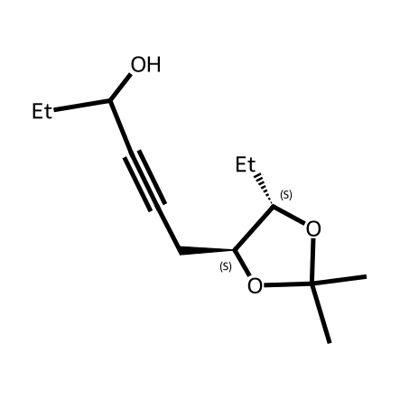 CCC(O)C#CC[C@@H]1OC(C)(C)O[C@H]1CC